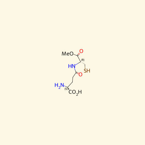 COC(=O)[C@H](CS)NC(=O)CC[C@H](N)C(=O)O